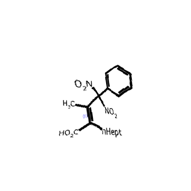 CCCCCCC/C(C(=O)O)=C(/C)C(c1ccccc1)([N+](=O)[O-])[N+](=O)[O-]